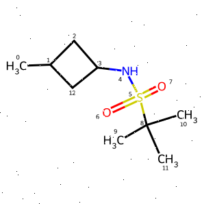 CC1CC(NS(=O)(=O)C(C)(C)C)C1